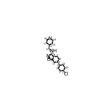 Clc1ccc(-c2ccc3c(NCc4ccncc4)noc3c2)cc1